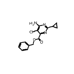 Nc1nc(C2CC2)nc(C(=O)OCc2ccccc2)c1Cl